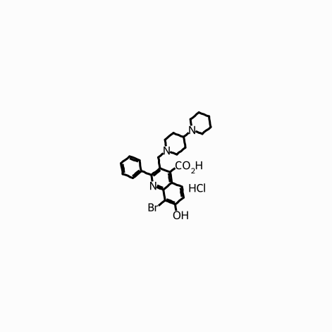 Cl.O=C(O)c1c(CN2CCC(N3CCCCC3)CC2)c(-c2ccccc2)nc2c(Br)c(O)ccc12